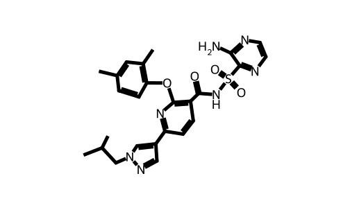 Cc1ccc(Oc2nc(-c3cnn(CC(C)C)c3)ccc2C(=O)NS(=O)(=O)c2nccnc2N)c(C)c1